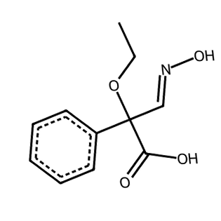 CCOC(C=NO)(C(=O)O)c1ccccc1